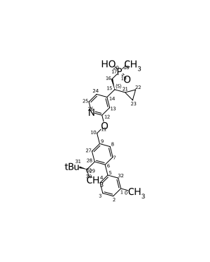 Cc1cccc(-c2ccc(COc3cc([C@@H](CP(C)(=O)O)C4CC4)ccn3)cc2[C@@H](C)C(C)(C)C)c1